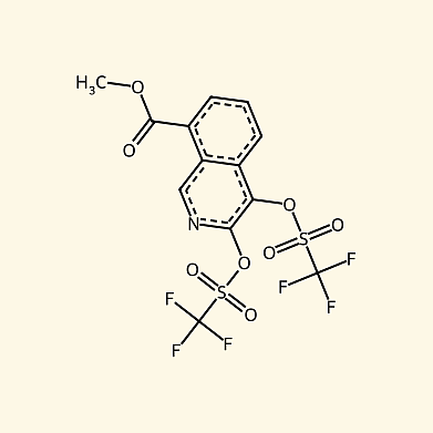 COC(=O)c1cccc2c(OS(=O)(=O)C(F)(F)F)c(OS(=O)(=O)C(F)(F)F)ncc12